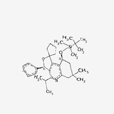 CC(C)c1nc2c(c3c1[C@@H](c1cc[c]cc1)OC31CCCC1)[C@@H](O[Si](C)(C)C(C)(C)C)CC(C)(C)C2